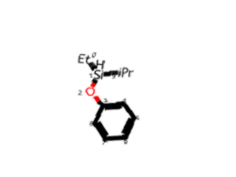 CC[SiH](Oc1ccccc1)C(C)C